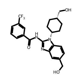 O=C(Nc1nc2cc(CO)ccc2n1[C@H]1CC[C@@H](CO)CC1)c1cccc(C(F)(F)F)c1